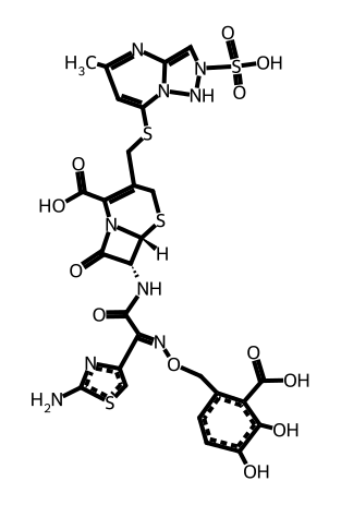 CC1=NC2=CN(S(=O)(=O)O)NN2C(SCC2=C(C(=O)O)N3C(=O)[C@@H](NC(=O)C(=NOCc4ccc(O)c(O)c4C(=O)O)c4csc(N)n4)[C@H]3SC2)=C1